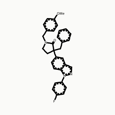 COc1ccc(CN2CCC(Cc3ccccc3)(c3ccc4c(cnn4-c4ccc(F)cc4)c3)C2=O)cc1